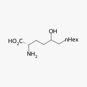 CCCCCCCC(O)CC[C@H](N)C(=O)O